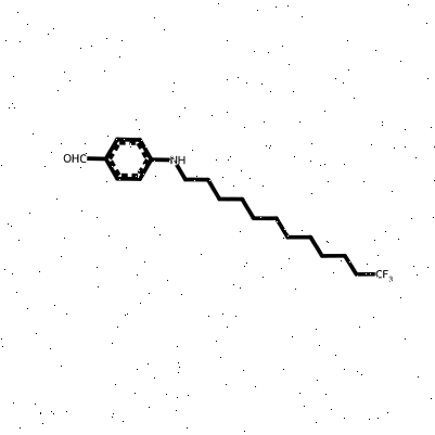 O=Cc1ccc(NCCCCCCCCCCCC(F)(F)F)cc1